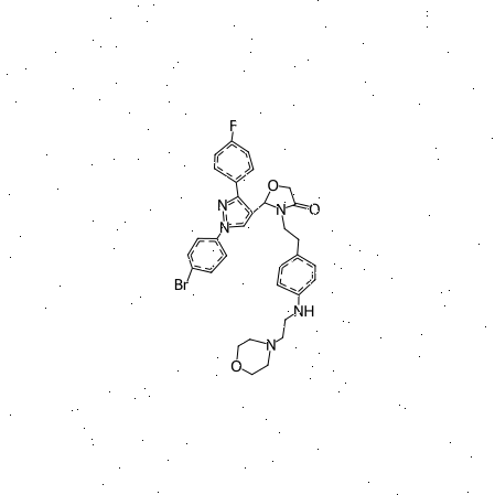 O=C1COC(c2cn(-c3ccc(Br)cc3)nc2-c2ccc(F)cc2)N1CCc1ccc(NCCN2CCOCC2)cc1